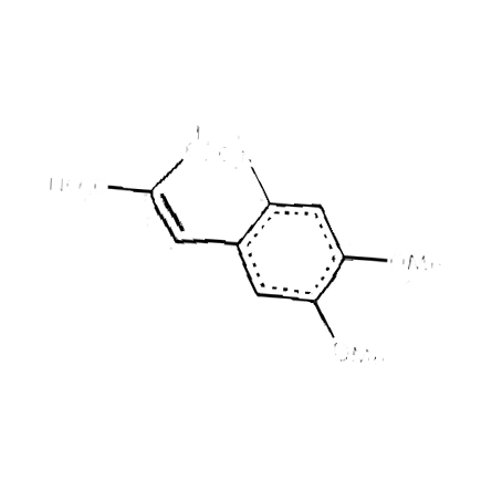 COc1cc(/C=C(\C)C(=O)O)c([N+](=O)[O-])cc1OC